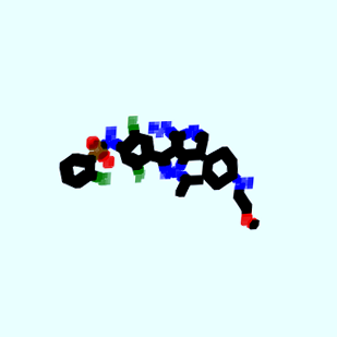 COCCN[C@H]1CC[C@H](c2cnc(N)c3c(-c4cc(F)c(NS(=O)(=O)c5ccccc5Cl)cc4F)nn(C(C)C)c32)CC1